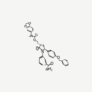 CN(C(=O)OCC[C@@]1(C)S[C@@H](c2ccc(OCc3ccccc3)cc2)N(c2cccc(C(N)=O)c2)C1=O)c1ccc2c(c1)OCO2